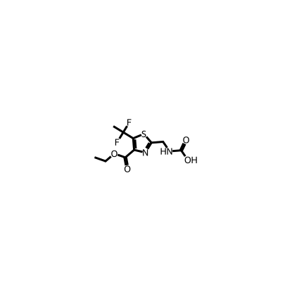 CCOC(=O)c1nc(CNC(=O)O)sc1C(C)(F)F